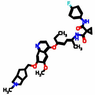 CC/C(=C\C=C(/C)NC(=O)C1(C(=O)Nc2ccc(F)cc2)CC1)Oc1ccnc2cc(OCC3CC4CN(C)CC4C3)c(OC)cc12